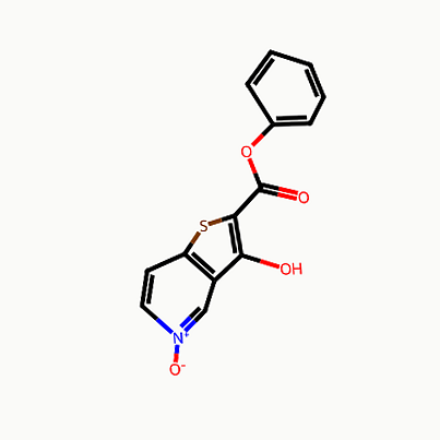 O=C(Oc1ccccc1)c1sc2cc[n+]([O-])cc2c1O